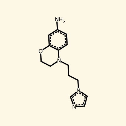 Nc1ccc2c(c1)OCCN2CCCn1ccnc1